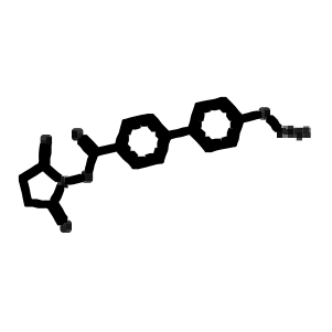 CCCCCCCOc1ccc(-c2ccc(C(=O)ON3C(=O)CCC3=O)cc2)cc1